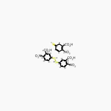 O=C(O)C1=C([N+](=O)[O-])C=CC(=S)C1.O=C(O)c1cc(SSc2ccc([N+](=O)[O-])c(C(=O)O)c2)ccc1[N+](=O)[O-]